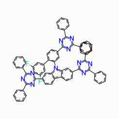 Fc1cc(F)cc(-c2ccc(-c3nc(-c4ccccc4)nc(-c4ccccc4)n3)cc2-n2c3cc(-c4nc(-c5ccccc5)nc(-c5ccccc5)n4)ccc3c3ccc(-c4nc(-c5ccccc5)nc(-c5ccccc5)n4)cc32)c1